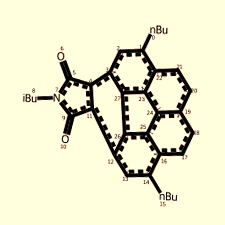 CCCCc1cc2c3c(=O)n(C(C)CC)c(=O)c3c3cc(CCCC)c4ccc5ccc1c1c5c4c3c21